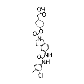 Cc1ccc(NC(=O)Nc2ccc3c(c2)CCN(C(=O)O[C@H]2CC[C@H](CC(=O)O)CC2)C3)cc1Cl